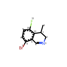 CC1CN=Cc2c(Br)ccc(F)c21